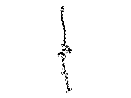 CC(C)(C)OC(=O)CCCCCCCCCCCCCCCCC(=O)NC(C[C@@H](C=O)C(=O)NCCOCCOCC(=O)NCCOCCOCC(=O)O)OC(C)(C)C